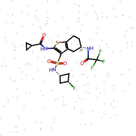 O=C(Nc1sc2c(c1S(=O)(=O)N[C@H]1C[C@H](F)C1)C[C@@H](NC(=O)C(F)(F)F)CC2)C1CC1